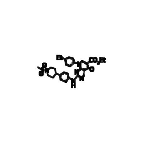 CCOC(=O)c1cn(-c2ccc(CC)cc2)c2nc(Nc3ccc(C4CCN(S(C)(=O)=O)CC4)cc3)ncc2c1=O